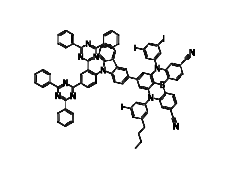 CCCCc1cc(I)cc(N2c3cc(C#N)ccc3B3c4ccc(C#N)cc4N(c4cc(I)cc(I)c4)c4cc(-c5ccc6c(c5)c5ccccc5n6-c5ccc(-c6nc(-c7ccccc7)nc(-c7ccccc7)n6)cc5-c5nc(-c6ccccc6)nc(-c6ccccc6)n5)cc2c43)c1